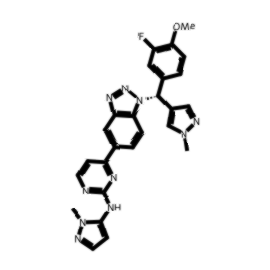 COc1ccc([C@H](c2cnn(C)c2)n2nnc3cc(-c4ccnc(Nc5ccnn5C)n4)ccc32)cc1F